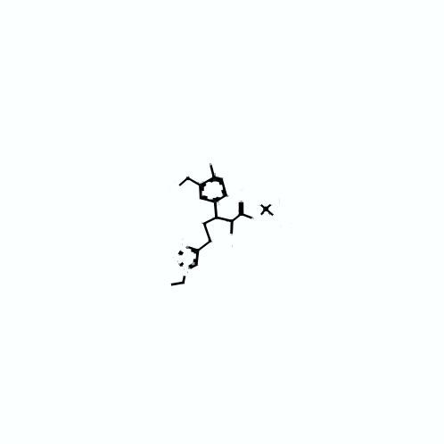 CCn1cc(CCC(c2ccc(C)c(CO)c2)C(C)C(=O)OC(C)(C)C)nn1